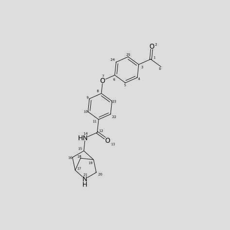 CC(=O)c1ccc(Oc2ccc(C(=O)NC3CC4CC3CN4)cc2)cc1